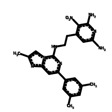 Cc1cc(C)cc(-c2cc3nc(C)cn3c(NCCc3cc(N)nc(N)c3[N+](=O)[O-])n2)c1